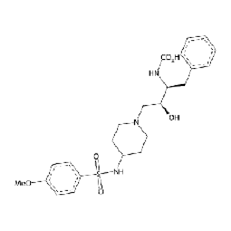 COc1ccc(S(=O)(=O)NC2CCN(C[C@H](O)[C@H](Cc3ccccc3)NC(=O)O)CC2)cc1